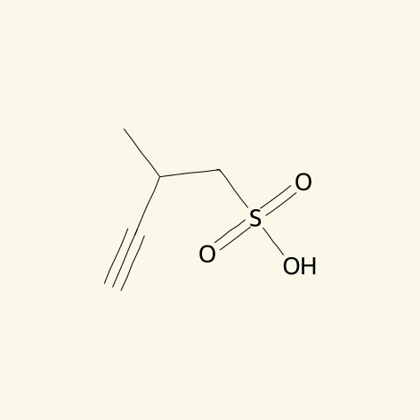 C#CC(C)CS(=O)(=O)O